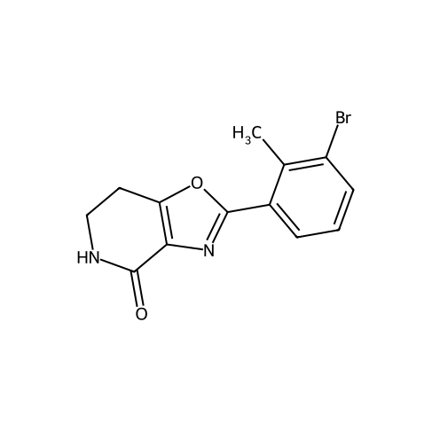 Cc1c(Br)cccc1-c1nc2c(o1)CCNC2=O